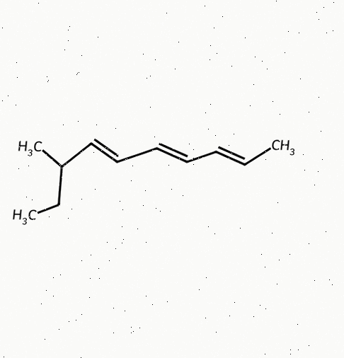 CC=CC=CC=CC(C)CC